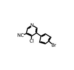 N#Cc1cncc(-c2ccc(Br)cc2)c1Cl